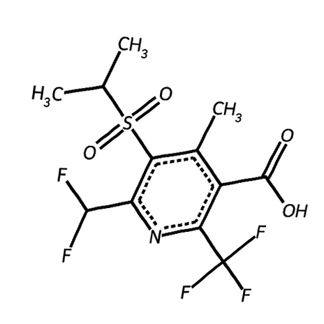 Cc1c(C(=O)O)c(C(F)(F)F)nc(C(F)F)c1S(=O)(=O)C(C)C